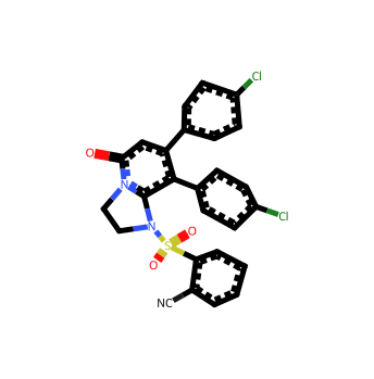 N#Cc1ccccc1S(=O)(=O)N1CCn2c1c(-c1ccc(Cl)cc1)c(-c1ccc(Cl)cc1)cc2=O